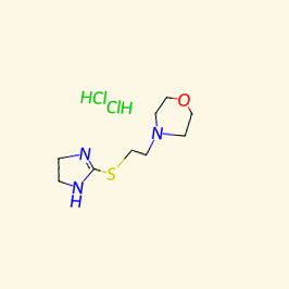 C1CNC(SCCN2CCOCC2)=N1.Cl.Cl